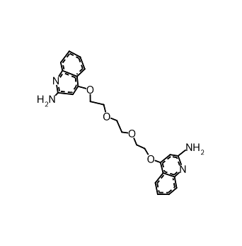 Nc1cc(OCCOCCOCCOc2cc(N)nc3ccccc23)c2ccccc2n1